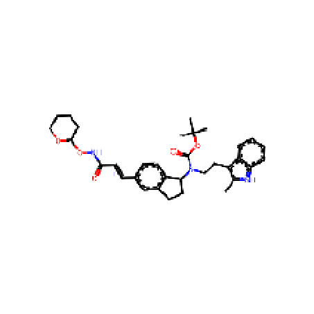 Cc1[nH]c2ccccc2c1CCN(C(=O)OC(C)(C)C)C1CCc2cc(/C=C/C(=O)NOC3CCCCO3)ccc21